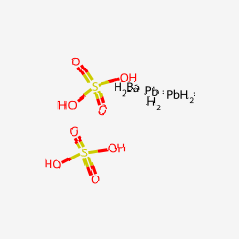 O=S(=O)(O)O.O=S(=O)(O)O.[BaH2].[PbH2].[PbH2]